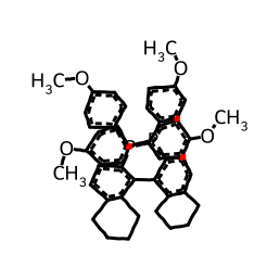 COc1ccc(P(c2ccc(OC)cc2)c2ccc3c(c2-c2c(P(c4ccc(OC)cc4)c4ccc(OC)cc4)ccc4c2CCCC4)CCCC3)cc1